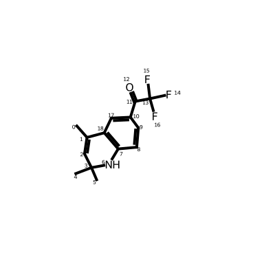 CC1=CC(C)(C)Nc2ccc(C(=O)C(F)(F)F)cc21